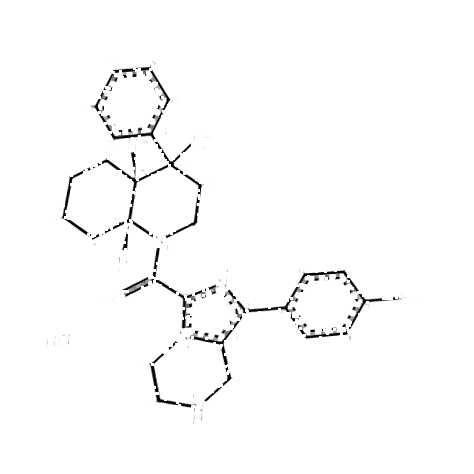 Cl.O=C(c1nc(-c2ccc(F)cc2)c2n1CCNC2)N1CCC(O)(c2ccccc2)[C@H]2CCCC[C@H]21